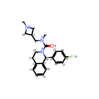 CN1CC(CN(C)C(=O)N2CCc3ccccc3[C@@H]2c2ccc(F)cc2)C1